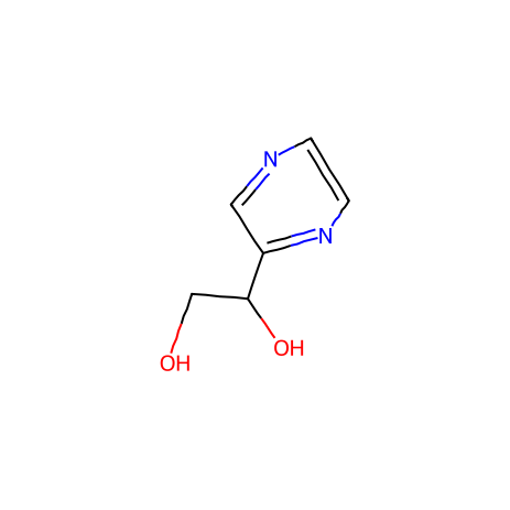 OCC(O)c1cnccn1